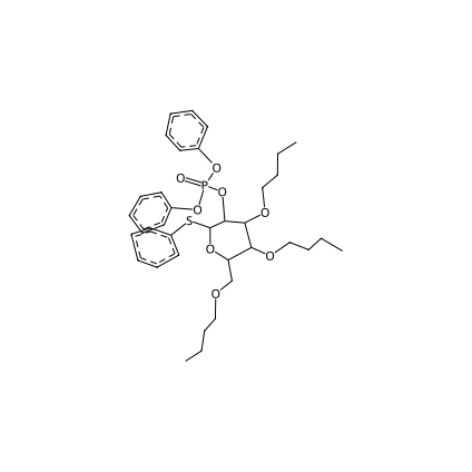 CCCCOCC1OC(Sc2ccccc2)C(OP(=O)(Oc2ccccc2)Oc2ccccc2)C(OCCCC)C1OCCCC